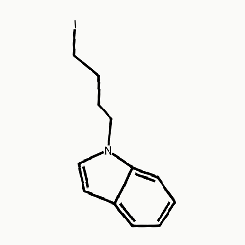 ICCCCn1ccc2ccccc21